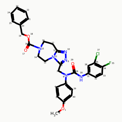 COc1ccc(N(Cc2nnc3n2CCN(C(=O)OCc2ccccc2)CC3)C(=O)Nc2ccc(F)c(Cl)c2)cc1